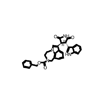 O=C1NC(=O)[C@H](c2cn3c4c(cccc24)CN(C(=O)OCc2ccccc2)CC3)[C@H]1c1c[nH]c2ccccc12